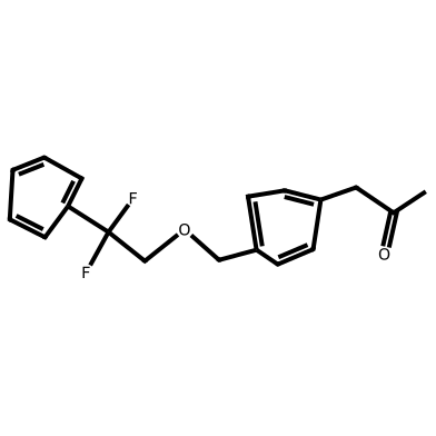 CC(=O)Cc1ccc(COCC(F)(F)c2ccccc2)cc1